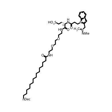 CCCCCCCCCCCCCCCCCCCCCCCCC(=O)NCCOCCOCCNC(=O)[C@H](CCS(=O)(=O)O)NC(=O)CCn1c(CN(C)NC)cc2ccccc21